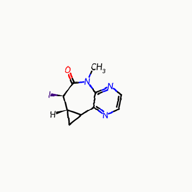 CN1C(=O)[C@H](I)[C@H]2CC2c2nccnc21